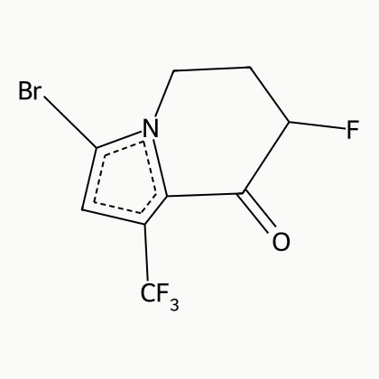 O=C1c2c(C(F)(F)F)cc(Br)n2CCC1F